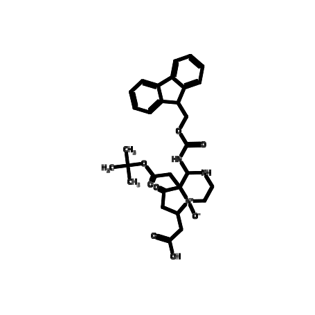 CC(C)(C)OC(=O)CC12C(=O)CC(CC(=O)O)[N+]1([O-])CCNC2NC(=O)OCC1c2ccccc2-c2ccccc21